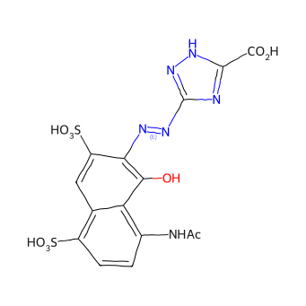 CC(=O)Nc1ccc(S(=O)(=O)O)c2cc(S(=O)(=O)O)c(/N=N/c3n[nH]c(C(=O)O)n3)c(O)c12